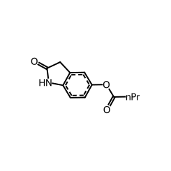 CCCC(=O)Oc1ccc2c(c1)CC(=O)N2